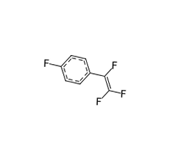 FC(F)=C(F)c1ccc(F)cc1